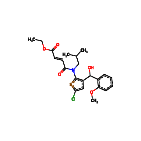 CCOC(=O)C=CC(=O)N(CC(C)C)c1sc(Cl)cc1C(O)c1ccccc1OC